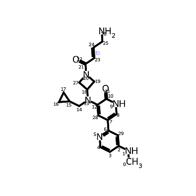 CNc1ccnc(-c2c[nH]c(=O)c(N(CC3CC3)C3CN(C(=O)/C=C/CN)C3)c2)c1